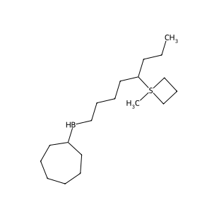 CCCC(CCCCBC1CCCCCC1)S1(C)CCC1